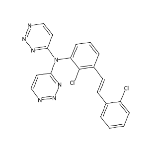 Clc1ccccc1/C=C/c1cccc(N(c2ccnnn2)c2ccnnn2)c1Cl